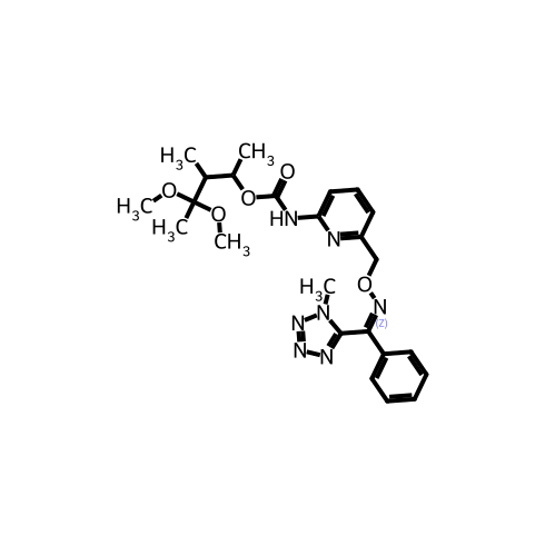 COC(C)(OC)C(C)C(C)OC(=O)Nc1cccc(CO/N=C(/c2ccccc2)c2nnnn2C)n1